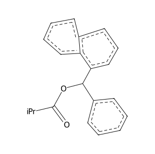 CC(C)C(=O)OC(c1ccccc1)c1cccc2ccccc12